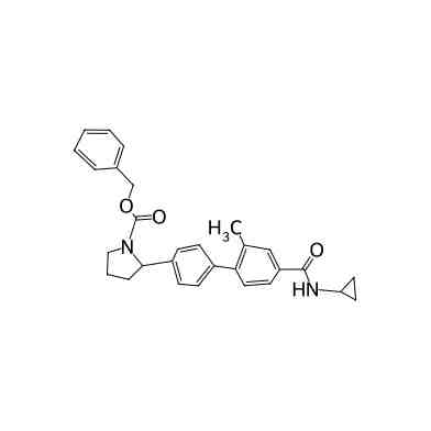 Cc1cc(C(=O)NC2CC2)ccc1-c1ccc(C2CCCN2C(=O)OCc2ccccc2)cc1